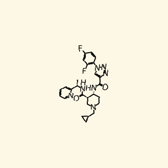 C[C@@H](NC(=O)[C@@H]1CN(CC2CC2)CC[C@H]1NC(=O)c1cn(-c2ccc(F)cc2F)nn1)c1ccccn1